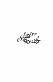 CCC(CC)(Cc1nc2ccc(OCc3ccc(C)cn3)cc2n1Cc1ccc(OC(F)(F)F)cc1F)C(=O)O